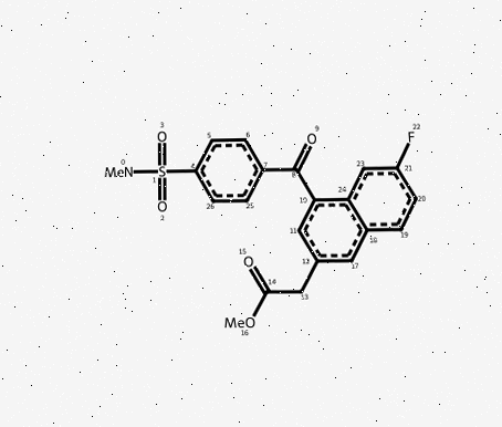 CNS(=O)(=O)c1ccc(C(=O)c2cc(CC(=O)OC)cc3ccc(F)cc23)cc1